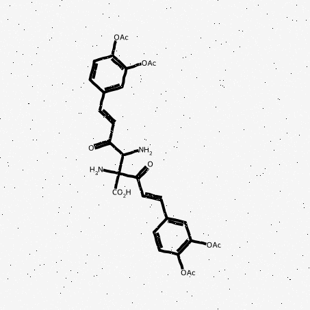 CC(=O)Oc1ccc(C=CC(=O)C(N)C(N)(C(=O)O)C(=O)C=Cc2ccc(OC(C)=O)c(OC(C)=O)c2)cc1OC(C)=O